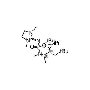 CC(C)O[C@H](CC(C)(C)C)[C@@H](C)N(C)P(=O)(N=C1N(C)CCN1C)OC(C)(C)C